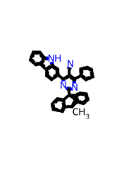 CC12CC(c3nc(-c4ccccc4)c(C#N)c(-c4ccc5c(c4)[nH]c4ccccc45)n3)(c3ccccc31)c1ccccc12